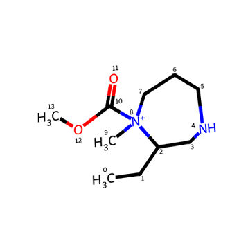 CCC1CNCCC[N+]1(C)C(=O)OC